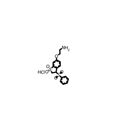 Cl.NCCOc1ccc2c(c1)S(=O)(=O)CC2S(=O)(=O)c1ccccc1